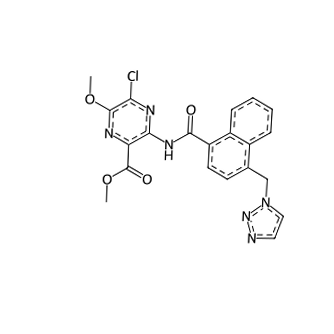 COC(=O)c1nc(OC)c(Cl)nc1NC(=O)c1ccc(Cn2ccnn2)c2ccccc12